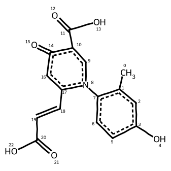 Cc1cc(O)ccc1-n1cc(C(=O)O)c(=O)cc1/C=C/C(=O)O